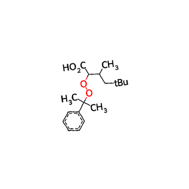 CC(CC(C)(C)C)C(OOC(C)(C)c1ccccc1)C(=O)O